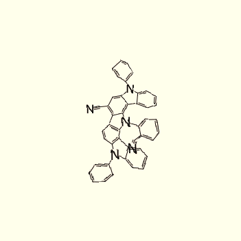 N#Cc1ccccc1-n1c2c(ccc3c2c2ccccc2n3-c2ccccc2)c2c(C#N)cc3c(c4ccccc4n3-c3ccccc3)c21